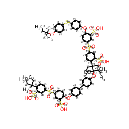 CCC(C)(C)Oc1ccc(Sc2ccc(Oc3ccc(S(=O)(=O)c4ccc(C(CC)(CC)C(C)(CC)Oc5ccc(-c6ccc(Oc7ccc(S(=O)(=O)c8ccc(C(C)(CC)CC)c(S(=O)(=O)O)c8)cc7S(=O)(=O)O)cc6)cc5)c(S(=O)(=O)O)c4)cc3S(=O)(=O)O)cc2)cc1